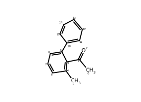 CC(=O)c1c(C)cccc1-c1ccccc1